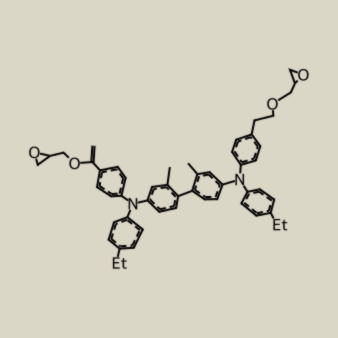 C=C(OCC1CO1)c1ccc(N(c2ccc(CC)cc2)c2ccc(-c3ccc(N(c4ccc(CC)cc4)c4ccc(CCOCC5CO5)cc4)cc3C)c(C)c2)cc1